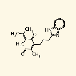 CC(C)=C(C)C(=O)/C(CCCc1nc2ccccc2[nH]1)=C(/C)C=O